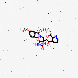 COC(=O)c1ncccc1C(=O)CC1(CN2Cc3ccc(OC)cc3C2=O)NC(=O)NC1=O